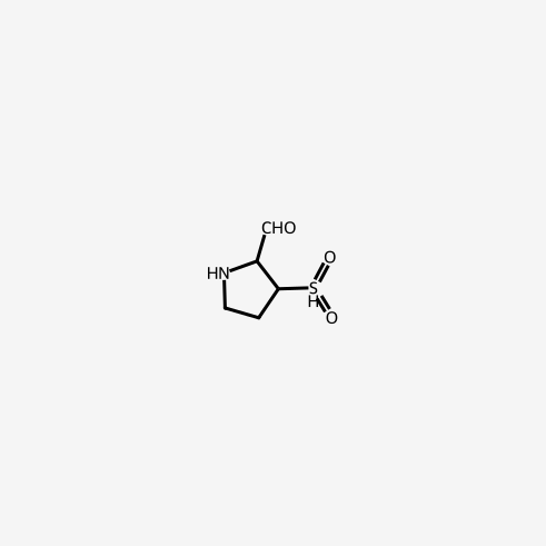 O=CC1NCCC1[SH](=O)=O